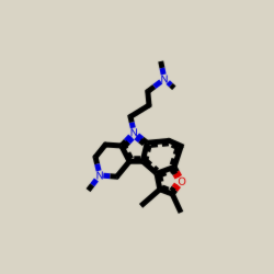 Cc1oc2ccc3c(c4c(n3CCCN(C)C)CCN(C)C4)c2c1C